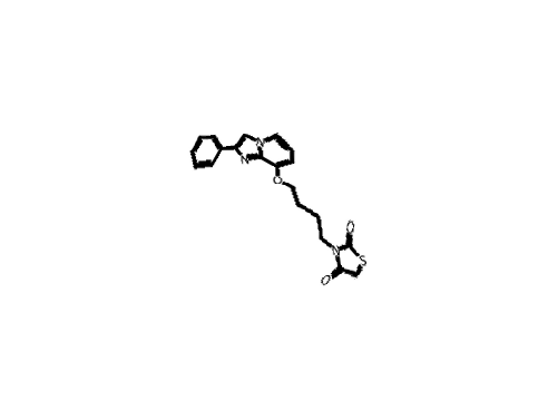 O=C1CSC(=O)N1CCCCOc1cccn2cc(-c3ccccc3)nc12